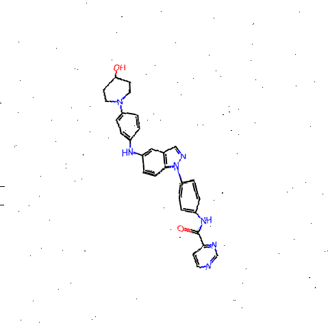 O=C(Nc1ccc(-n2ncc3cc(Nc4ccc(N5CCC(O)CC5)cc4)ccc32)cc1)c1ccncn1